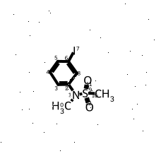 CN(c1cccc(I)c1)S(C)(=O)=O